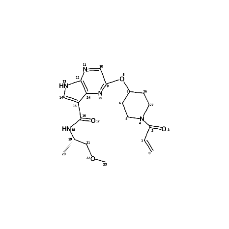 C=CC(=O)N1CCC(Oc2cnc3[nH]cc(C(=O)N[C@@H](C)COC)c3n2)CC1